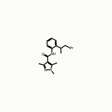 Cc1nn(C)c(C)c1C(=O)Nc1ccccc1C(C)CC(C)C